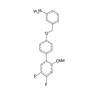 COc1cc(F)c(F)cc1-c1ccc(OCc2cccc(N)c2)cc1